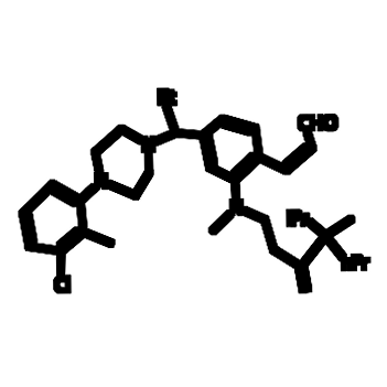 C=C(CCN(C)c1cc(C(CC)N2CCN(c3cccc(Cl)c3C)CC2)ccc1/C=C\C=O)C(C)(CCC)C(C)C